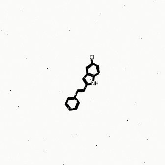 Clc1ccc2[nH]c(/C=C/c3ccccc3)cc2c1